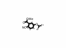 COC(=O)c1cc(OC(F)F)ccc1C#N